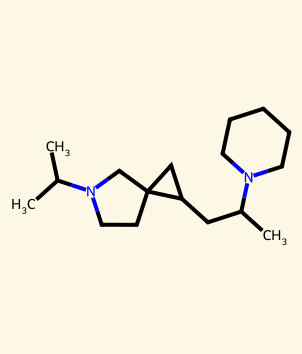 CC(C)N1CCC2(CC2CC(C)N2CCCCC2)C1